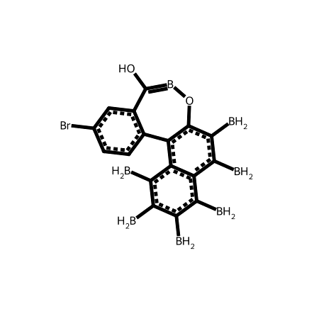 Bc1c(B)c(B)c2c3c(c(B)c(B)c2c1B)OB=C(O)c1cc(Br)ccc1-3